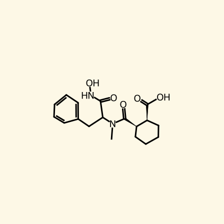 CN(C(=O)[C@@H]1CCCC[C@@H]1C(=O)O)C(Cc1ccccc1)C(=O)NO